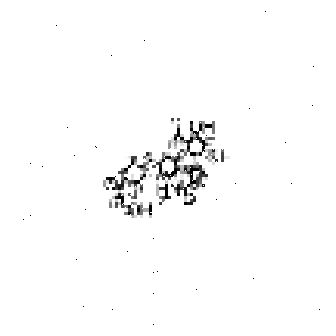 CCNC(=O)c1nnc(-c2cc(C(C)C)c(O)cc2O)n1-c1ccc(CC2CCN(C(=O)C(C)(C)CO)CC2)cc1